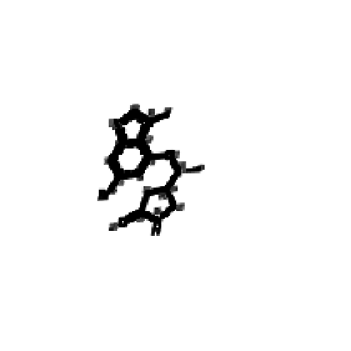 C[C@@H](Oc1cc(Br)cc2ncn(C)c12)[C@H]1CNC(=O)C1